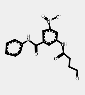 O=C(CCCCl)Nc1cc(C(=O)Nc2ccccc2)cc([N+](=O)[O-])c1